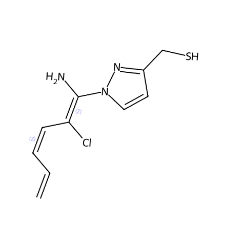 C=C/C=C\C(Cl)=C(/N)n1ccc(CS)n1